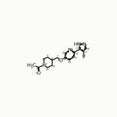 CC(=O)N1CCC(COc2ccc(-c3[nH]ncc3F)nc2)CC1